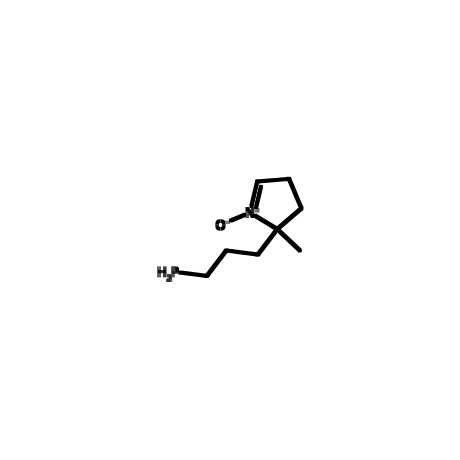 CC1(CCCP)CCC=[N+]1[O-]